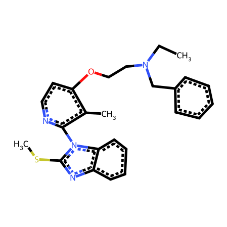 CCN(CCOc1ccnc(-n2c(SC)nc3ccccc32)c1C)Cc1ccccc1